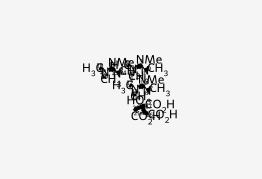 C/N=C(\NC)N(C)C.C/N=C(\NC)N(C)C.C/N=C(\NC)N(C)C.O=C(O)CC(O)(CC(=O)O)C(=O)O